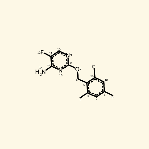 Cc1cc(C)c(COc2ncc(F)c(N)n2)c(C)c1